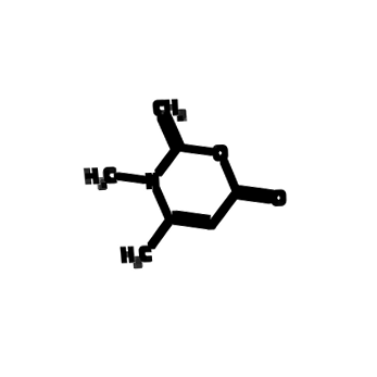 C=C1OC(=O)C=C(C)N1C